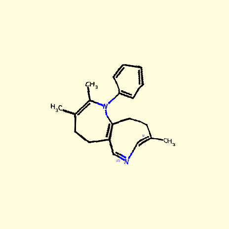 CC1=C(C)N(c2ccccc2)C2=C(/C=N\C=C(/C)CC2)CC1